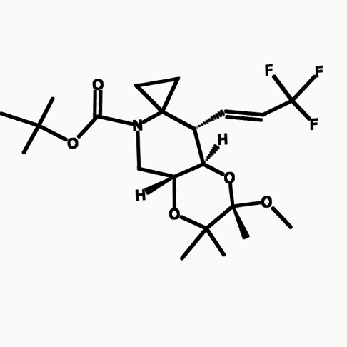 CO[C@@]1(C)O[C@@H]2[C@@H](/C=C/C(F)(F)F)C3(CC3)N(C(=O)OC(C)(C)C)C[C@H]2OC1(C)C